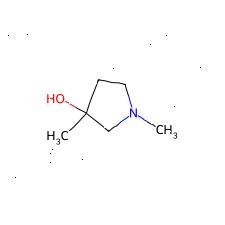 CN1CCC(C)(O)C1